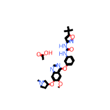 CC(=O)O.COc1cc2c(Oc3cccc(NC(=O)Nc4cc(C(C)(C)C)on4)c3)ncnc2cc1OC1CCN(C)C1